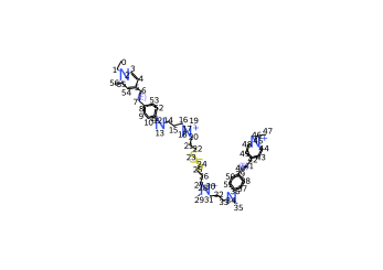 CCN1C=CC(/C=C/c2ccc(N(C)CCC[N+](C)(C)CCCSSCCC[N+](C)(C)CCCN(C)c3ccc(/C=C/c4cc[n+](CC)cc4)cc3)cc2)=CC1C